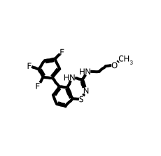 COCCNC1=NSc2cccc(-c3cc(F)cc(F)c3F)c2N1